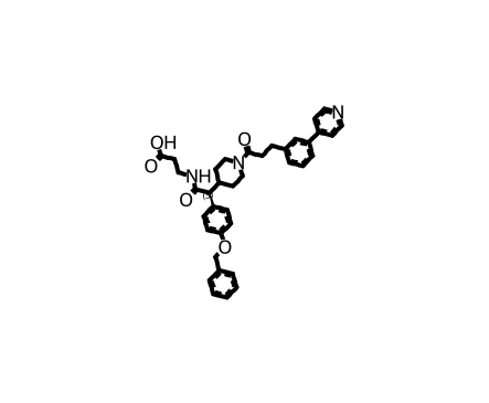 O=C(O)CCNC(=O)[C@H](c1ccc(OCc2ccccc2)cc1)C1CCN(C(=O)CCc2cccc(-c3ccncc3)c2)CC1